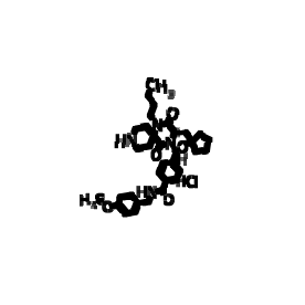 CCCCN1C(=O)[C@@H](CC2(O)CCCC2)N(Cc2ccc(C(=O)NCc3ccc(OC)cc3)cc2)C(=O)C12CCNCC2.Cl